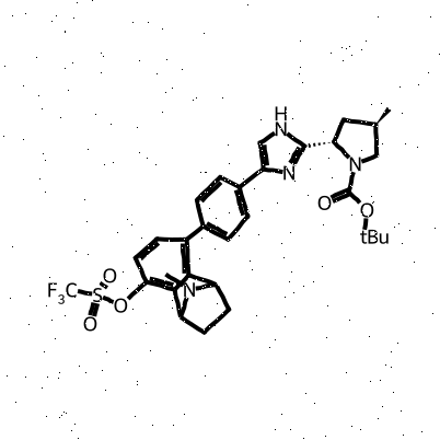 C[C@@H]1C[C@@H](c2nc(-c3ccc(-c4ccc(OS(=O)(=O)C(F)(F)F)c5c4C4CCC5N4C)cc3)c[nH]2)N(C(=O)OC(C)(C)C)C1